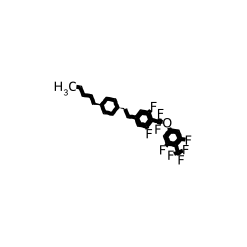 CCCCC[C@H]1CC[C@H](CCc2cc(F)c(C(F)(F)Oc3cc(F)c(C(F)(F)F)c(F)c3)c(F)c2)CC1